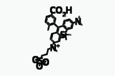 Cc1ccc(C(=O)O)cc1C1=C2C=C/C(=[N+](/C)CCCS(=O)(=O)[O-])C=C2[Si](C)(C)c2cc(N(C)C)ccc21